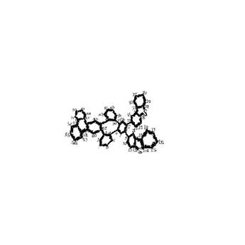 c1ccc2c(c1)-c1cc(-c3ccc4sc5ccccc5c4c3)c(-c3ccc4sc5ccccc5c4c3)cc1-c1ccccc1-c1cc3c4ccccc4c4ccccc4c3cc1-2